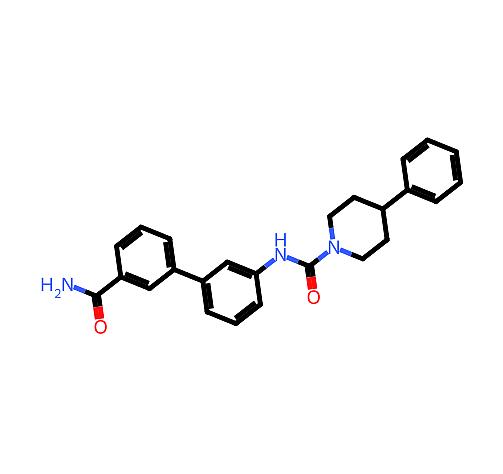 NC(=O)c1cccc(-c2cccc(NC(=O)N3CCC(c4ccccc4)CC3)c2)c1